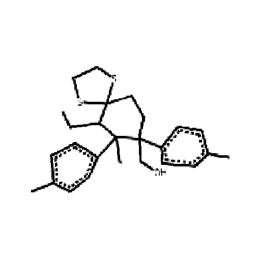 CCC1C2(CCC(CO)(c3ccc(C)cc3)C1(C)c1ccc(C)cc1)SCCS2